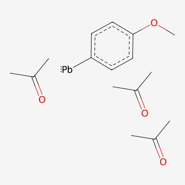 CC(C)=O.CC(C)=O.CC(C)=O.COc1cc[c]([Pb])cc1